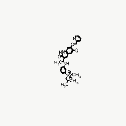 CC(C)CN(c1cccc(NC(C)c2cc3cc(Cl)c(OCc4ccccn4)cc3[nH]c2=O)c1)S(C)(=O)=O